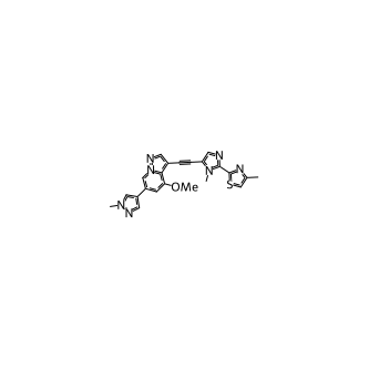 COc1cc(-c2cnn(C)c2)cn2ncc(C#Cc3cnc(-c4nc(C)cs4)n3C)c12